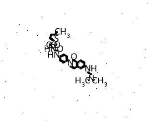 CC1CC=C(S(=O)(=O)NC(=O)Nc2ccc(-n3ccc4cc(NCCN(C)C)ccc4c3=O)cc2)S1